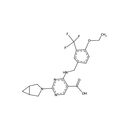 CCOc1ccc(CNc2nc(N3CC4CC4C3)ncc2C(=O)O)cc1C(F)(F)F